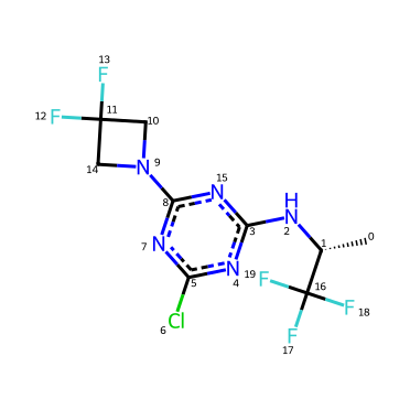 C[C@@H](Nc1nc(Cl)nc(N2CC(F)(F)C2)n1)C(F)(F)F